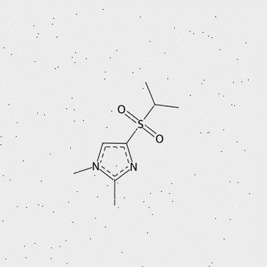 Cc1nc(S(=O)(=O)C(C)C)cn1C